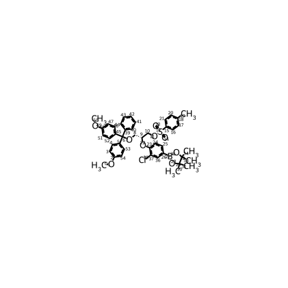 COc1ccc(C(OC[C@H](COS(=O)(=O)c2ccc(C)cc2)Oc2ccc(B3OC(C)(C)C(C)(C)O3)cc2Cl)(c2ccccc2)c2ccc(OC)cc2)cc1